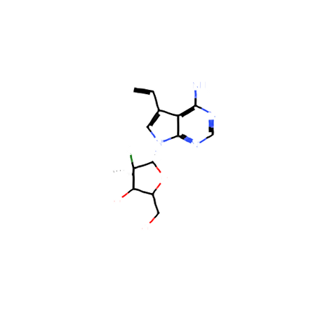 C=Cc1cn([C@@H]2OC(CO)C(O)[C@@]2(C)Cl)c2ncnc(N)c12